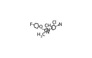 Cc1nn(-c2ccc(C#N)c(Cl)c2)c(C)c1COc1ccc(F)cc1